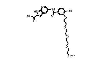 COCCOCCOCCOCCOc1cc(C(=O)Nc2cnc3[nH]c(C(=O)C(C)(C)C)cc3c2)ccc1O